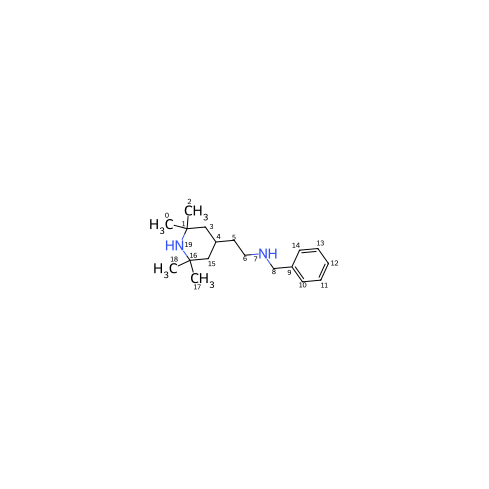 CC1(C)CC(CCNCc2ccccc2)CC(C)(C)N1